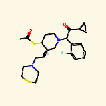 CC(=O)SC1CCN(C(C(=O)C2CC2)c2ccccc2F)C/C1=C/CN1CCSCC1